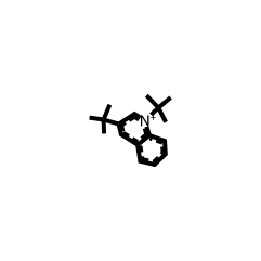 CC(C)(C)c1cc2ccccc2[n+](C(C)(C)C)c1